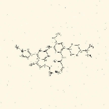 C=CC(=O)Nc1cc(Nc2nc(-c3cnn(C)c3)c3c(Cl)cn(CO)c3n2)c(OC)cc1N1CCC(N(C)C)CC1